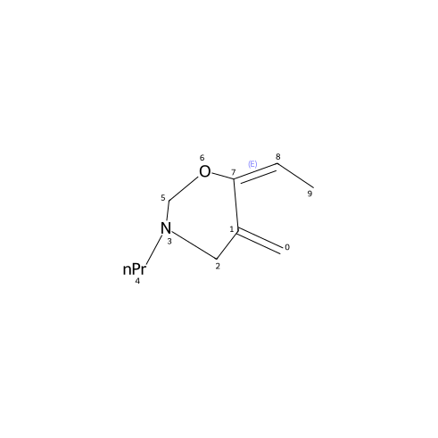 C=C1CN(CCC)CO/C1=C/C